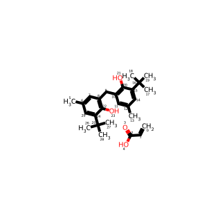 C=CC(=O)O.Cc1cc(Cc2cc(C)cc(C(C)(C)C)c2O)c(O)c(C(C)(C)C)c1